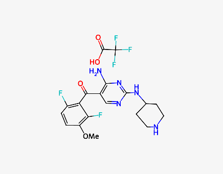 COc1ccc(F)c(C(=O)c2cnc(NC3CCNCC3)nc2N)c1F.O=C(O)C(F)(F)F